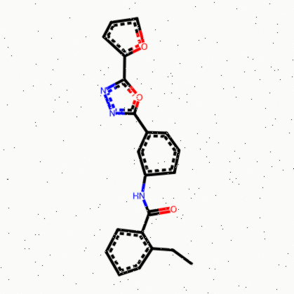 CCc1ccccc1C(=O)Nc1cccc(-c2nnc(-c3ccco3)o2)c1